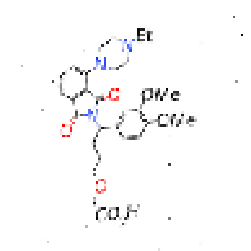 CCN1CCN(c2cccc3c2C(=O)N([C@H](CCCOCC(=O)O)c2ccc(OC)c(OC)c2)C3=O)CC1